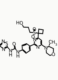 C[C@H]1COCCN1c1cc(C2(S(=O)(=O)CCCO)CCC2)nc(-c2ccc(NC(=O)Nc3ncns3)cc2)n1